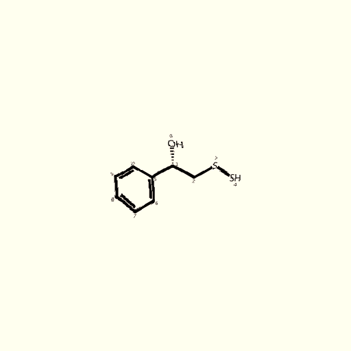 O[C@H](CSS)c1ccccc1